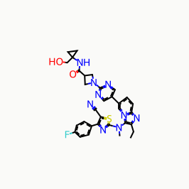 CCc1nc2ccc(-c3cnc(N4CC(C(=O)NC5(CO)CC5)C4)nc3)cn2c1N(C)c1nc(-c2ccc(F)cc2)c(C#N)s1